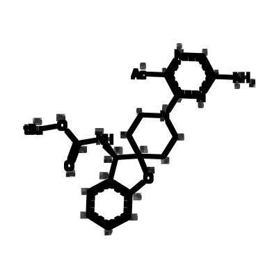 CC(=O)c1ncc(N)nc1N1CCC2(CC1)Oc1ccccc1[C@H]2NC(=O)OC(C)(C)C